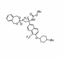 CC(C)(C)OC(=O)N[C@@](C)(COP1(=O)OCc2ccccc2CO1)c1ccc2c(C(F)(F)F)c(OC3CCC(C(C)(C)C)CC3)ccc2c1